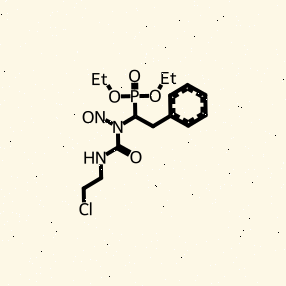 CCOP(=O)(OCC)C(Cc1ccccc1)N(N=O)C(=O)NCCCl